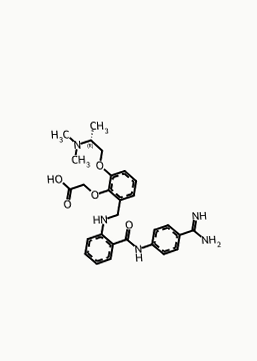 C[C@H](COc1cccc(CNc2ccccc2C(=O)Nc2ccc(C(=N)N)cc2)c1OCC(=O)O)N(C)C